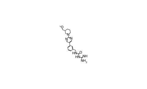 COCC1CCCN(c2ncc(-c3cccc(CNC(=O)NC(=N)N)c3)cn2)C1